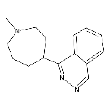 CN1CCCC(c2nncc3ccccc23)CC1